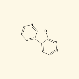 c1cnc2oc3nnccc3c2c1